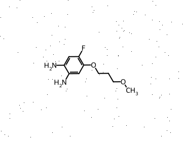 COCCCOc1cc(N)c(N)cc1F